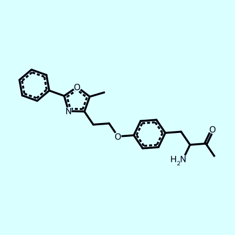 CC(=O)C(N)Cc1ccc(OCCc2nc(-c3ccccc3)oc2C)cc1